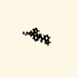 CC1CC(c2cncc(NC(=O)c3cccn4ccnc34)c2)(c2nncn2C)C1